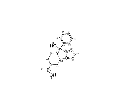 CB(O)N1CCC(C(O)(c2ccccn2)c2ccco2)CC1